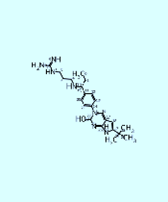 CC[C@H](NCCCNC(=N)N)c1ccc(N2C=c3cc(C(C)(C)C)[nH]c3=NC2O)cc1